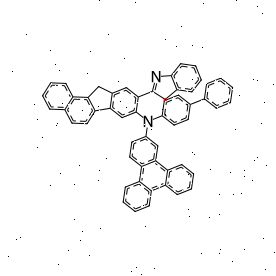 c1ccc(-c2ccc(N(c3ccc4c5ccccc5c5ccccc5c4c3)c3cc4c(cc3C3=Nc5ccccc5C3)Cc3c-4ccc4ccccc34)cc2)cc1